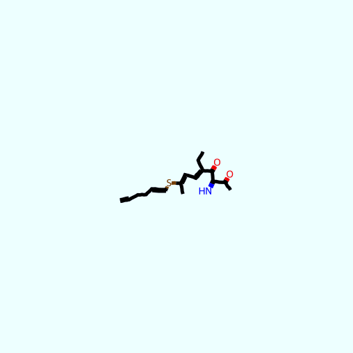 C=CCC/C=C/S/C(C)=C/C=C(\CC)C(=O)C(=N)C(C)=O